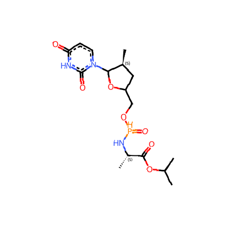 CC(C)OC(=O)[C@H](C)N[PH](=O)OCC1C[C@H](C)C(n2ccc(=O)[nH]c2=O)O1